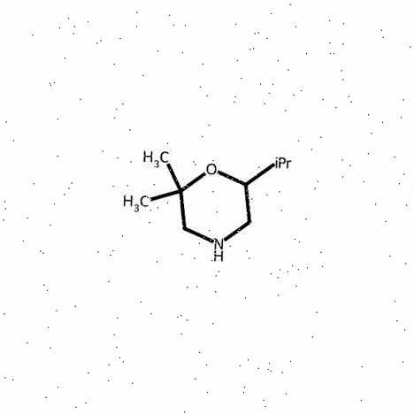 CC(C)C1CNCC(C)(C)O1